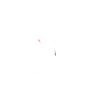 O=CNOC(=O)[C@@H](O)[C@H](O)C(=O)ON1CCCC1